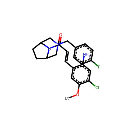 CCOc1cc(/C=C/C(=O)N2C3CCC2CN(Cc2ccc(F)cc2)C3)c(N)cc1Cl